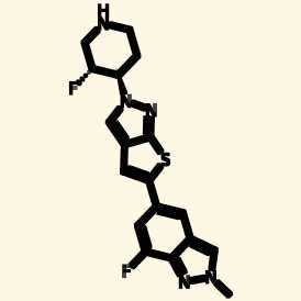 Cn1cc2cc(-c3cc4cn([C@@H]5CCNC[C@H]5F)nc4s3)cc(F)c2n1